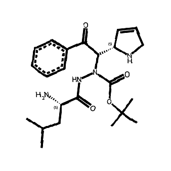 CC(C)C[C@H](N)C(=O)NN(C(=O)OC(C)(C)C)C(C(=O)c1ccccc1)[C@@H]1C=CCN1